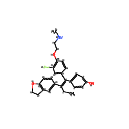 CCC(=C(c1ccc(O)cc1)c1ccc(OCCNC)c(F)c1)c1ccc2c(c1)CCO2